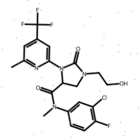 Cc1cc(C(F)(F)F)cc(N2C(=O)N(CCO)CC2C(=O)N(C)c2ccc(F)c(Cl)c2)n1